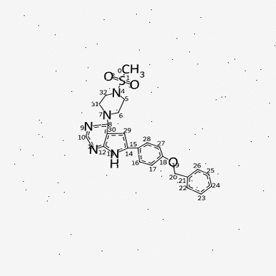 CS(=O)(=O)N1CCN(c2ncnc3[nH]c(-c4ccc(OCc5ccccc5)cc4)cc23)CC1